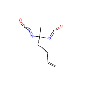 C=CCCC(C)(N=C=O)N=C=O